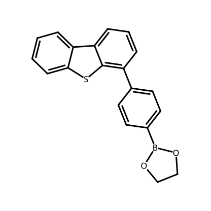 c1ccc2c(c1)sc1c(-c3ccc(B4OCCO4)cc3)cccc12